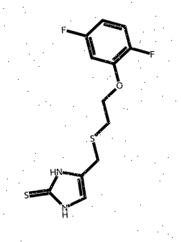 Fc1ccc(F)c(OCCSCc2c[nH]c(=S)[nH]2)c1